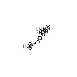 CC(C)N(C)c1nc2c(N)nc([C@H]3CC[C@H](OCCCCS(=O)(=O)O)CC3)nc2n1C